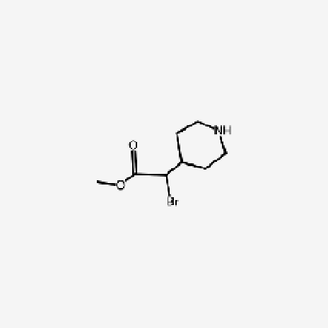 COC(=O)C(Br)C1CCNCC1